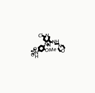 COc1cc(NS(C)(=O)=O)ccc1-n1nc(NCCN2CCOCC2)c2cnc(Cl)cc21